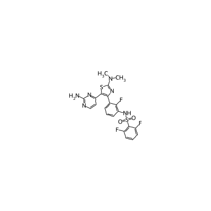 CN(C)c1nc(-c2cccc(NS(=O)(=O)c3c(F)cccc3F)c2F)c(-c2ccnc(N)n2)s1